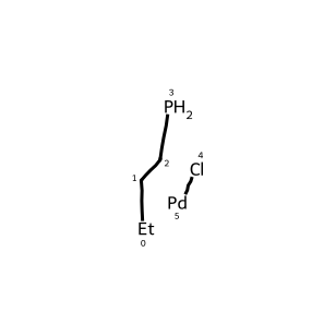 CCCCP.[Cl][Pd]